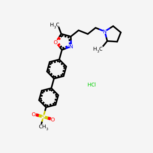 Cc1oc(-c2ccc(-c3ccc(S(C)(=O)=O)cc3)cc2)nc1CCCN1CCCC1C.Cl